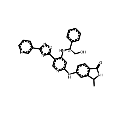 CC1NC(=O)c2ccc(Nc3cc(N[C@H](CO)c4ccccc4)c(-c4nc(-c5cccnc5)no4)cn3)cc21